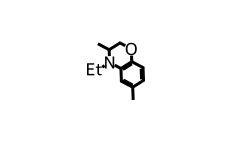 CCN1c2cc(C)ccc2OCC1C